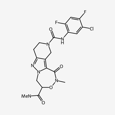 CNC(=O)C1Cn2nc3c(c2C(=O)N(C)O1)CN(C(=O)Nc1cc(Cl)c(F)cc1F)CC3